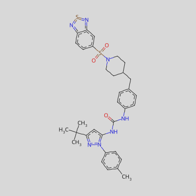 Cc1ccc(-n2nc(C(C)(C)C)cc2NC(=O)Nc2ccc(CC3CCN(S(=O)(=O)c4ccc5nsnc5c4)CC3)cc2)cc1